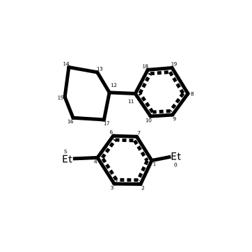 CCc1ccc(CC)cc1.c1ccc(C2CCCCC2)cc1